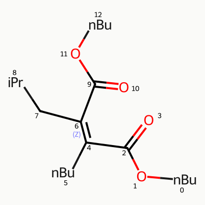 CCCCOC(=O)/C(CCCC)=C(/CC(C)C)C(=O)OCCCC